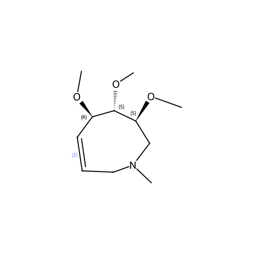 CO[C@@H]1[C@@H](OC)CN(C)C/C=C\[C@H]1OC